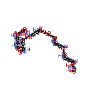 CC(COC(=O)Nc1cccc(Cc2cccc(NC(=O)OCCCCOC(=O)Nc3cccc(Cc4cccc(NC(=O)OCCOCCOC(=O)CCCCC(=O)OC(=O)Nc5cccc(Cc6cccc(NC(=O)OCCCOC(=O)Nc7cccc(Cc8cccc(NC(=O)OCC(O)CNOS(=O)O)c8)c7)c6)c5)c4)c3)c2)c1)(OC(=O)Nc1cccc(Cc2cccc(NC(=O)OCC(O)CNOS(=O)O)c2)c1)C(=O)O